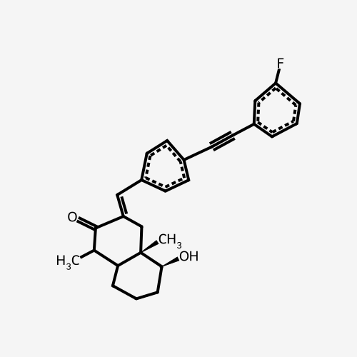 CC1C(=O)/C(=C/c2ccc(C#Cc3cccc(F)c3)cc2)C[C@@]2(C)C1CCC[C@@H]2O